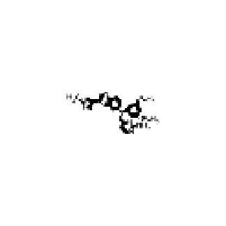 COc1cc(OC)cc(N(Cc2ccnc(N)n2)c2ccc3ncc(-c4cnn(C)c4)nc3c2)c1